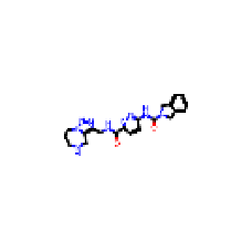 O=C(NCc1nnn2c1CNCCC2)c1ccc(NC(=O)N2Cc3ccccc3C2)nn1